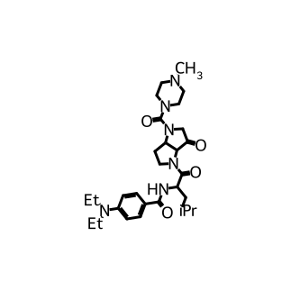 CCN(CC)c1ccc(C(=O)NC(CC(C)C)C(=O)N2CCC3C2C(=O)CN3C(=O)N2CCN(C)CC2)cc1